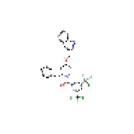 O=C(c1cc(C(F)(F)F)cc(C(F)(F)F)c1)N1CCC(OCc2cnc3ccccc3c2)CC1Cc1ccccc1